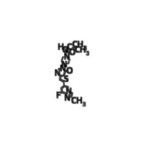 Cc1cn2cc(-c3cc4ncn(N5CCN(C(=O)OC(C)(C)C)CC5)c(=O)c4s3)cc(F)c2n1